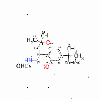 CCCCCCC(C)(C)c1cc(O)c2c(c1)OC(C)(C)CC2CNC=O